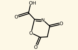 O=C1CC(=O)OC(C(=O)O)=N1